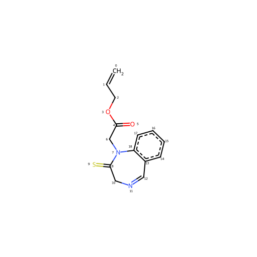 C=CCOC(=O)CN1C(=S)CN=Cc2ccccc21